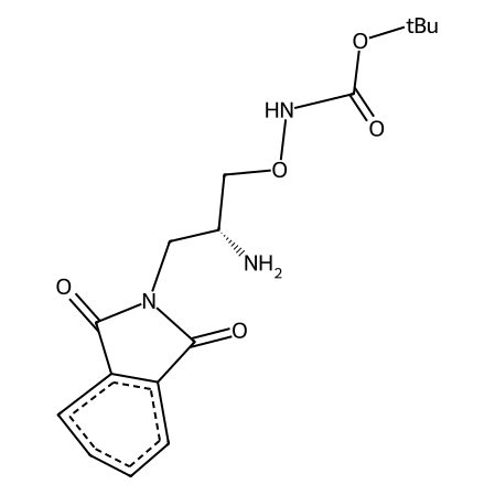 CC(C)(C)OC(=O)NOC[C@H](N)CN1C(=O)c2ccccc2C1=O